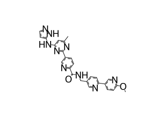 COc1ccc(-c2ccc(CNC(=O)c3ccc(-c4nc(C)cc(Nc5ccn[nH]5)n4)cn3)cn2)cn1